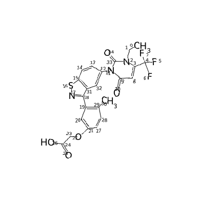 CCn1c(C(F)(F)F)cc(=O)n(-c2ccc3snc(-c4cc(OCC(=O)O)ccc4C)c3c2)c1=O